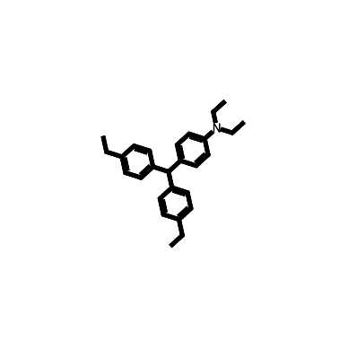 CCc1ccc(C(c2ccc(CC)cc2)c2ccc(N(CC)CC)cc2)cc1